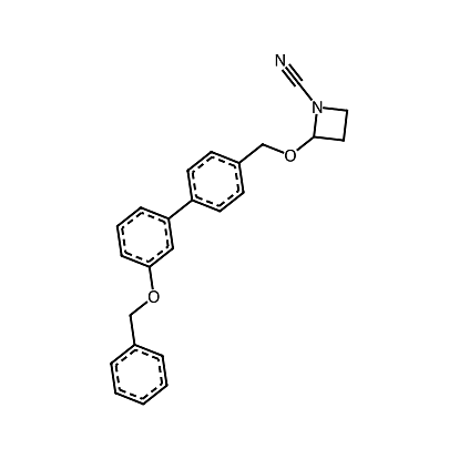 N#CN1CCC1OCc1ccc(-c2cccc(OCc3ccccc3)c2)cc1